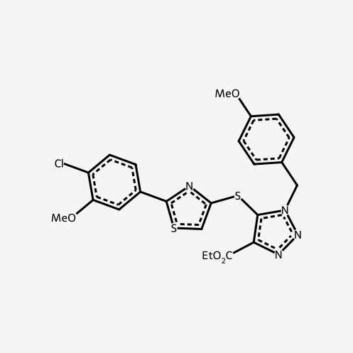 CCOC(=O)c1nnn(Cc2ccc(OC)cc2)c1Sc1csc(-c2ccc(Cl)c(OC)c2)n1